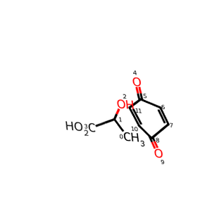 CC(O)C(=O)O.O=C1C=CC(=O)C=C1